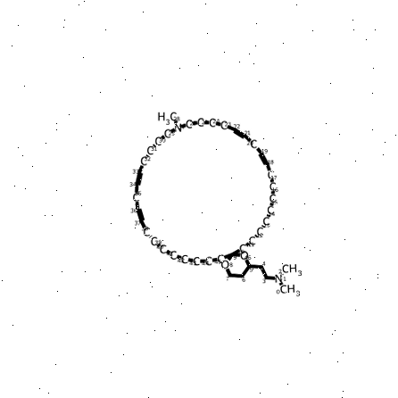 CN(C)CCC1CCOC2(CCCCCCCC/C=C\C/C=C\CCCCN(C)CCCC/C=C\C/C=C\CCCCCCCC2)O1